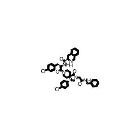 O=C(CN1CN(c2ccc(Cl)cc2)C2(CCN(C(=O)[C@@H](Cc3ccc(Cl)cc3)NC(=O)[C@H]3Cc4ccccc4CN3)CC2)C1=O)NCc1ccccc1